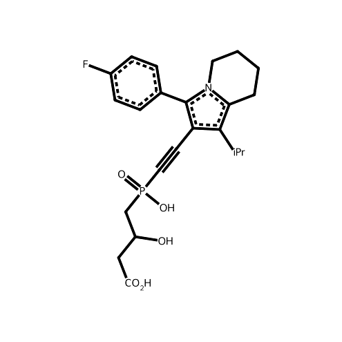 CC(C)c1c(C#CP(=O)(O)CC(O)CC(=O)O)c(-c2ccc(F)cc2)n2c1CCCC2